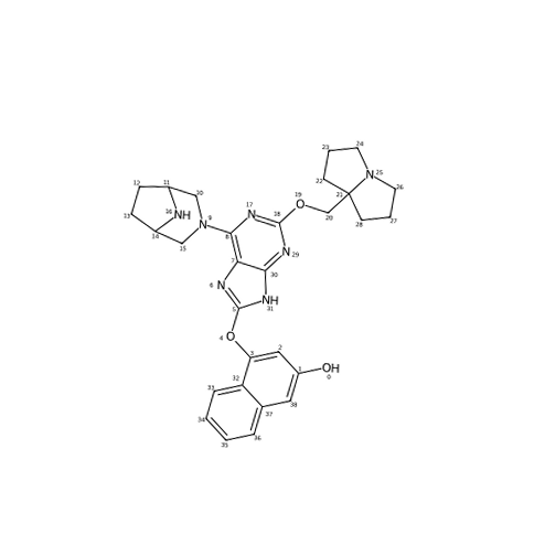 Oc1cc(Oc2nc3c(N4CC5CCC(C4)N5)nc(OCC45CCCN4CCC5)nc3[nH]2)c2ccccc2c1